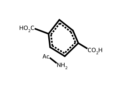 CC(N)=O.O=C(O)c1ccc(C(=O)O)cc1